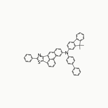 CC1(C)c2ccccc2-c2ccc(N(c3ccc(-c4ccccc4)cc3)c3ccc4cc5c6c(cccc6c4c3)-c3sc(-c4ccccc4)nc3-5)cc21